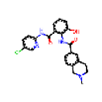 CN1CCc2cc(C(=O)Nc3c(O)cccc3C(=O)Nc3ccc(Cl)cn3)ccc2C1